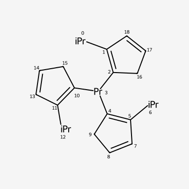 CC(C)C1=[C]([Pr]([C]2=C(C(C)C)C=CC2)[C]2=C(C(C)C)C=CC2)CC=C1